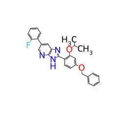 CC(C)Oc1cc(OCc2ccccc2)ccc1-c1nc2cc(-c3ccccc3F)cnc2[nH]1